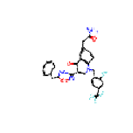 NC(=O)Cc1ccc2c(c1)c(=O)c(-c1noc(Cc3ccccc3)n1)cn2Cc1ccc(C(F)(F)F)cc1F